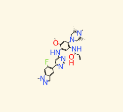 C=CC(O)Nc1cc(Nc2cc(-c3cc4cnn(C)c4cc3F)ncn2)c(OC)cc1N1C[C@@H](C)N(C)[C@@H](C)C1